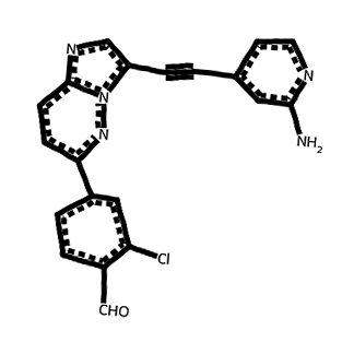 Nc1cc(C#Cc2cnc3ccc(-c4ccc(C=O)c(Cl)c4)nn23)ccn1